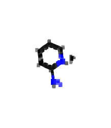 Nc1ccccn1.[Ir]